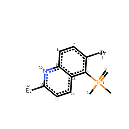 C=P(C)(C)c1c(C(C)C)ccc2nc(CC)ccc12